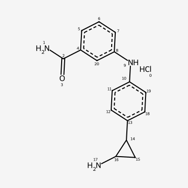 Cl.NC(=O)c1cccc(Nc2ccc(C3CC3N)cc2)c1